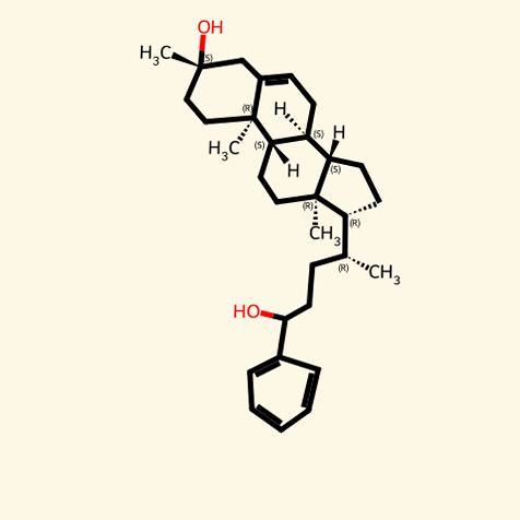 C[C@H](CCC(O)c1ccccc1)[C@H]1CC[C@H]2[C@@H]3CC=C4C[C@@](C)(O)CC[C@]4(C)[C@H]3CC[C@]12C